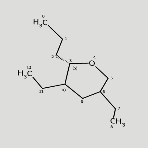 CCC[C@@H]1OCC(CC)CC1CC